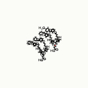 Cn1nc(C(OC(=O)C=CC(=O)O)c2nc(NCCCOc3cccc(CN4CCCCC4)c3)n(C)n2)nc1NCCCOc1cccc(CN2CCCCC2)c1.Cn1nc(C(OC(=O)C=CC(=O)O)c2nc(NCCCOc3cccc(CN4CCCCC4)c3)n(C)n2)nc1NCCCOc1cccc(CN2CCCCC2)c1.O